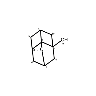 OC12CC3CC(C1)OC(C3)C2